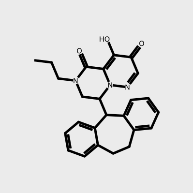 CCCN1CC(C2c3ccccc3CCc3ccccc32)n2ncc(=O)c(O)c2C1=O